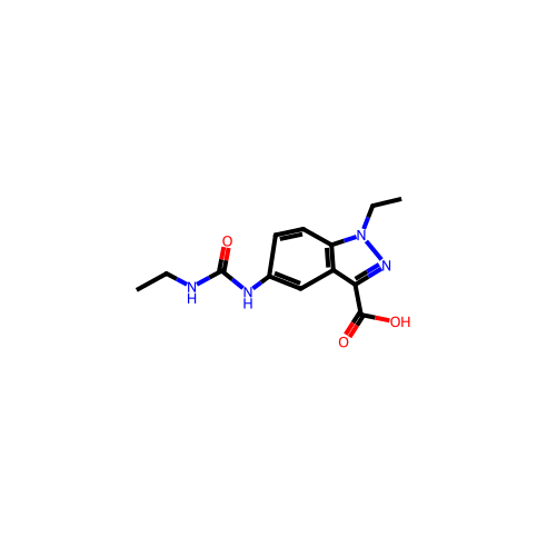 CCNC(=O)Nc1ccc2c(c1)c(C(=O)O)nn2CC